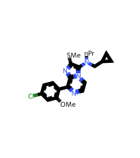 CCCN(CC1CC1)c1c(SC)nc2c(-c3ccc(Cl)cc3OC)nccn12